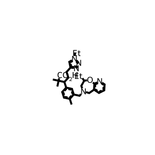 CCC1CN(Cc2cc(C(CCc3cn(CC)nn3)C(C)(C)C(=O)O)ccc2C)Cc2cccnc2O1